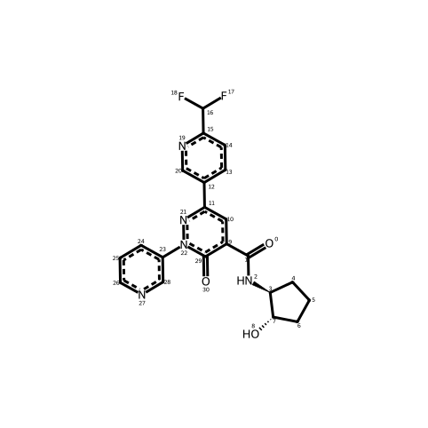 O=C(N[C@H]1CCC[C@@H]1O)c1cc(-c2ccc(C(F)F)nc2)nn(-c2cccnc2)c1=O